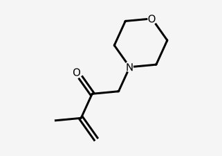 C=C(C)C(=O)CN1CCOCC1